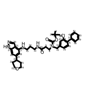 CC(C)(C)OC(=O)N(CCC(=O)NCCCNc1cc(C2CCOCC2)cc2[nH]ncc12)Cc1ccc(-c2ccccc2)c(Cl)c1